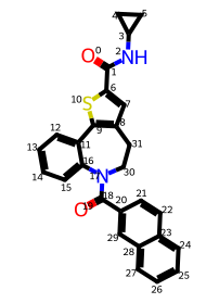 O=C(NC1CC1)c1cc2c(s1)-c1ccccc1N(C(=O)c1ccc3ccccc3c1)CC2